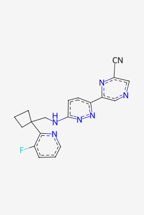 N#Cc1cncc(-c2ccc(NCC3(c4ncccc4F)CCC3)nn2)n1